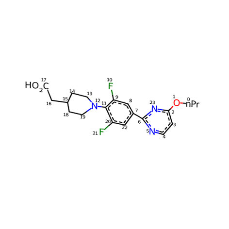 CCCOc1ccnc(-c2cc(F)c(N3CCC(CC(=O)O)CC3)c(F)c2)n1